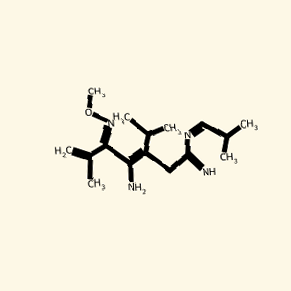 C=C(C)C(=N\OC)/C(N)=C(/CC(=N)/N=C\C(C)C)C(C)C